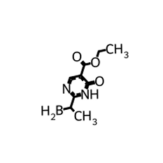 BC(C)c1ncc(C(=O)OCC)c(=O)[nH]1